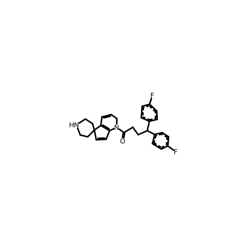 O=C(CCC(c1ccc(F)cc1)c1ccc(F)cc1)N1CC=CC2=C1C=CC21CCNCC1